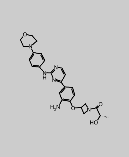 C[C@H](O)C(=O)N1CC(Oc2ccc(-c3ccnc(Nc4ccc(N5CCOCC5)cc4)n3)cc2N)C1